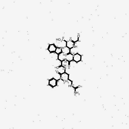 CN(C(=O)C(CCCNC(N)=O)NC(=O)C(Cc1c[nH]c2ccccc12)NC(=O)C1CCCCN1C(=O)C(CCC(=O)O)NC(=O)CCl)c1ccccc1